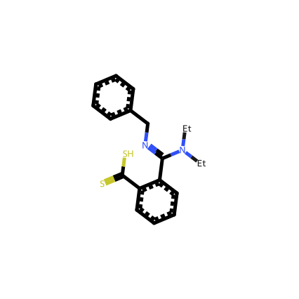 CCN(CC)C(=NCc1ccccc1)c1ccccc1C(=S)S